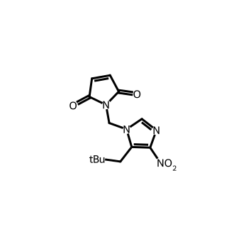 CC(C)(C)Cc1c([N+](=O)[O-])ncn1CN1C(=O)C=CC1=O